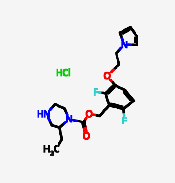 CCC1CNCCN1C(=O)OCc1c(F)ccc(OCCn2cccc2)c1F.Cl